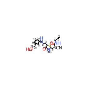 C#CCNC(=O)C(C#N)CC1SC(CCNc2cccc(CCO)c2)C(=O)N1CC